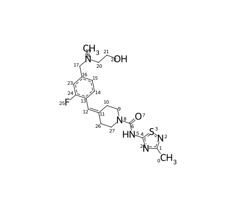 Cc1nsc(NC(=O)N2CCC(=Cc3ccc(CN(C)CCO)cc3F)CC2)n1